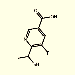 CC(S)c1ncc(C(=O)O)cc1F